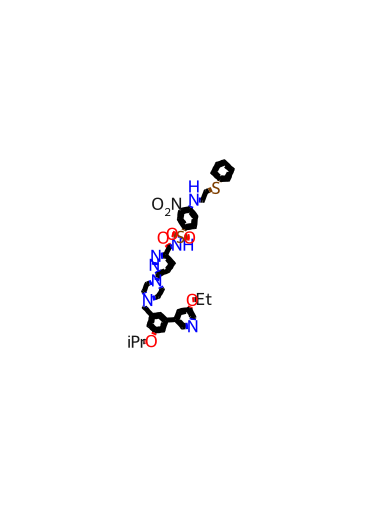 CCOc1cncc(-c2cc(CN3CCN(c4ccc(C(=O)NS(=O)(=O)c5ccc(NCCSc6ccccc6)c([N+](=O)[O-])c5)nn4)CC3)cc(OC(C)C)c2)c1